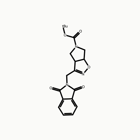 CC(C)(C)OC(=O)N1CC2ON=C(CN3C(=O)c4ccccc4C3=O)C2C1